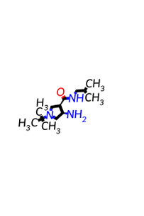 CC(C)CNC(=O)[C@@H]1CN(C(C)(C)C)C[C@@H]1N